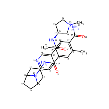 Cc1cc(C(=O)NC2CC3CCC(C2)N3c2ccc(C(=O)N[C@H]3CCN(C)C3)cn2)c(C)cc1C(N)=O